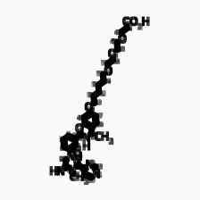 C[C@@H](NC(=O)c1cccc(NCC(=N)N(C)C(=N)c2ccncn2)c1)c1ccc(OCCCCCCOCCOCCOCCC(=O)O)cc1